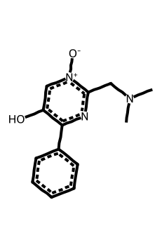 CN(C)Cc1nc(-c2ccccc2)c(O)c[n+]1[O-]